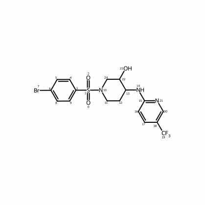 O=S(=O)(c1ccc(Br)cc1)N1CCC(Nc2ccc(C(F)(F)F)cn2)C(O)C1